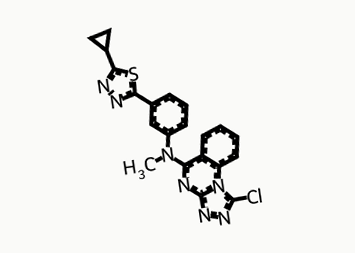 CN(c1cccc(-c2nnc(C3CC3)s2)c1)c1nc2nnc(Cl)n2c2ccccc12